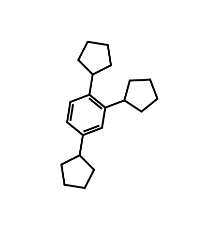 c1cc(C2CCCC2)c(C2CCCC2)cc1C1CCCC1